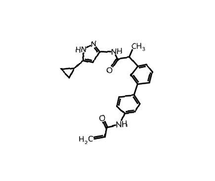 C=CC(=O)Nc1ccc(-c2cccc(C(C)C(=O)Nc3cc(C4CC4)[nH]n3)c2)cc1